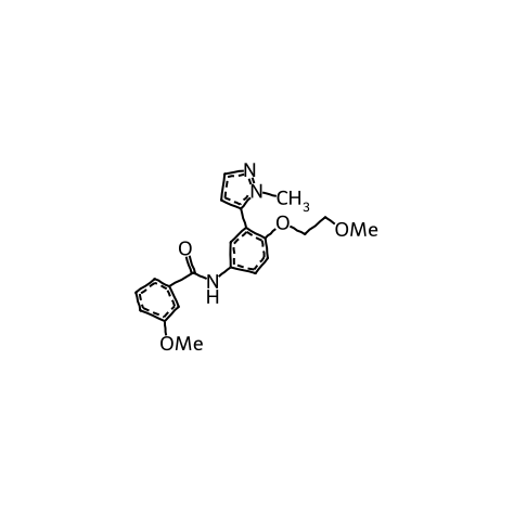 COCCOc1ccc(NC(=O)c2cccc(OC)c2)cc1-c1ccnn1C